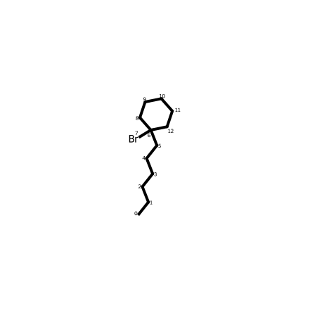 CCCCCCC1(Br)CCCCC1